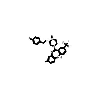 CN1CCN(C2=Nc3cc(F)ccc3Nc3ccc(C(F)(F)F)cc32)C[C@@H]1CCc1ccc(F)cc1